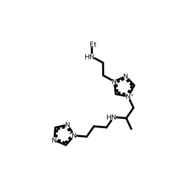 CCNCCn1c[n+](CC(C)NCCCn2cncn2)cn1